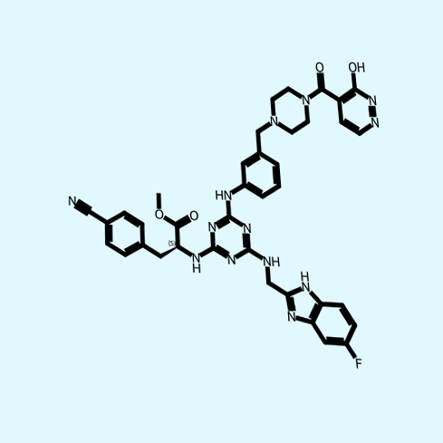 COC(=O)[C@H](Cc1ccc(C#N)cc1)Nc1nc(NCc2nc3cc(F)ccc3[nH]2)nc(Nc2cccc(CN3CCN(C(=O)c4ccnnc4O)CC3)c2)n1